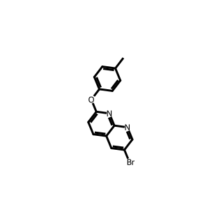 Cc1ccc(Oc2ccc3cc(Br)cnc3n2)cc1